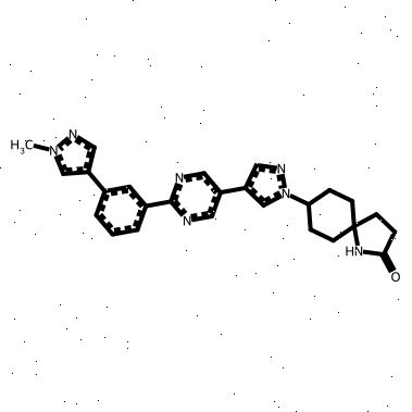 Cn1cc(-c2cccc(-c3ncc(-c4cnn(C5CCC6(CCC(=O)N6)CC5)c4)cn3)c2)cn1